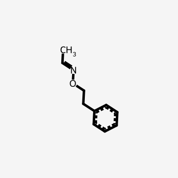 C/C=N/OCCc1ccccc1